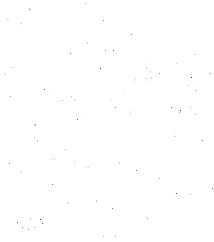 Cc1nc(-c2ccccc2)sc1C(=O)N1CCC(F)(F)C(=CC(=O)NC2CCNCC2)c2ccccc21